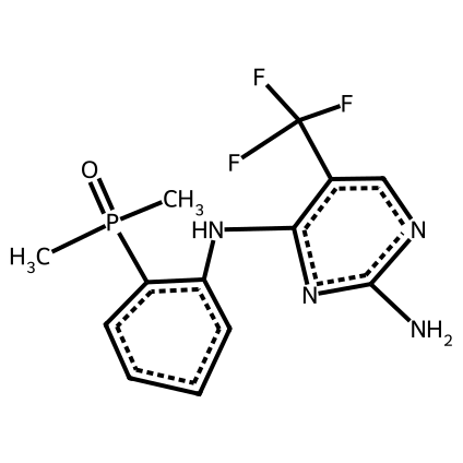 CP(C)(=O)c1ccccc1Nc1nc(N)ncc1C(F)(F)F